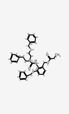 CCC(=O)OCc1cccc(SCc2ccccc2)c1NC(=O)N(CCSCc1ccccc1)CCc1ccccc1